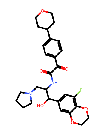 O=C(NC(CN1CCCC1)C(O)c1cc(F)c2c(c1)OCCO2)C(=O)c1ccc(C2CCOCC2)cc1